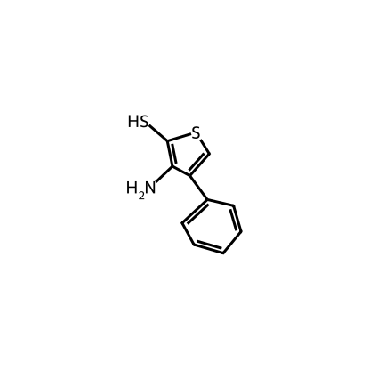 Nc1c(-c2ccccc2)csc1S